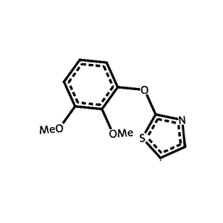 COc1cccc(Oc2nc[c]s2)c1OC